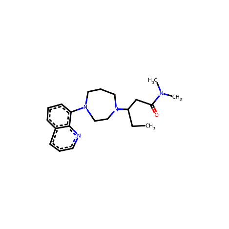 CCC(CC(=O)N(C)C)N1CCCN(c2cccc3cccnc23)CC1